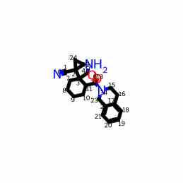 N#CC1(C2(C(N)=O)CCCCC2C(=O)N2CCc3ccccc3C2)CC1